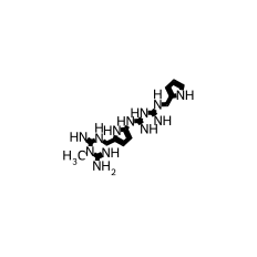 CN(C(=N)N)C(=N)NCc1ccc(NC(=N)NC(=N)NCc2ccc[nH]2)[nH]1